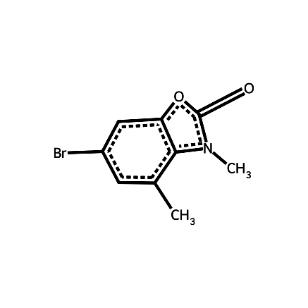 Cc1cc(Br)cc2oc(=O)n(C)c12